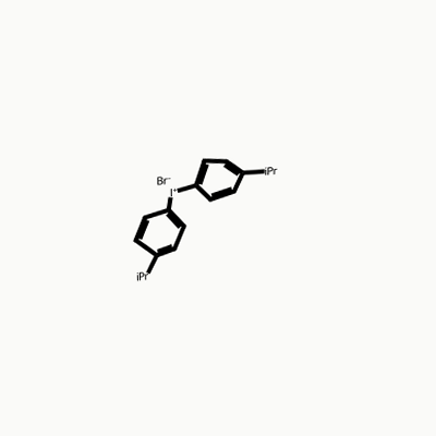 CC(C)c1ccc([I+]c2ccc(C(C)C)cc2)cc1.[Br-]